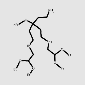 CCCOC(CCN)(CCPCC(OCC)OCC)CCPCC(OCC)OCC